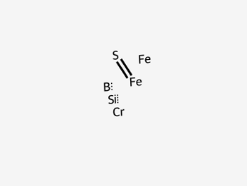 [B].[Cr].[Fe].[S]=[Fe].[Si]